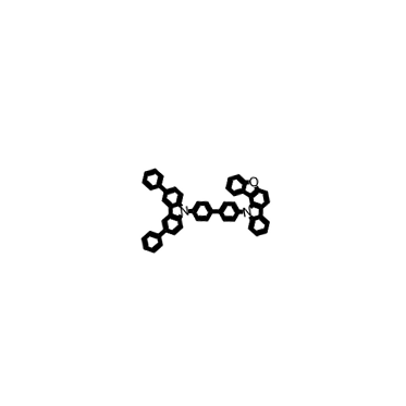 c1ccc(-c2ccc3c(c2)c2cc(-c4ccccc4)ccc2n3-c2ccc(-c3ccc(-n4c5ccccc5c5ccc6oc7ccccc7c6c54)cc3)cc2)cc1